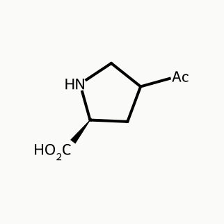 CC(=O)C1CN[C@H](C(=O)O)C1